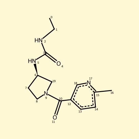 CCNC(=O)N[C@@H]1CCN(C(=O)c2ccc(C)nc2)C1